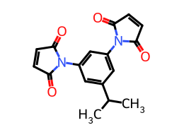 CC(C)c1cc(N2C(=O)C=CC2=O)cc(N2C(=O)C=CC2=O)c1